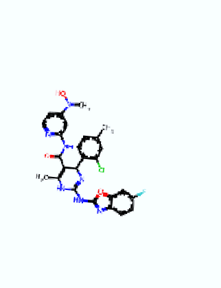 CC1=C(C(=O)Nc2cc(N(C)O)ccn2)C(c2ccc(C)cc2Cl)N=C(Nc2nc3ccc(F)cc3o2)N1